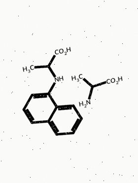 CC(N)C(=O)O.CC(Nc1cccc2ccccc12)C(=O)O